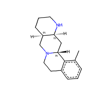 Cc1cccc2c1[C@H]1C[C@@H]3NCCC[C@@H]3CN1CC2